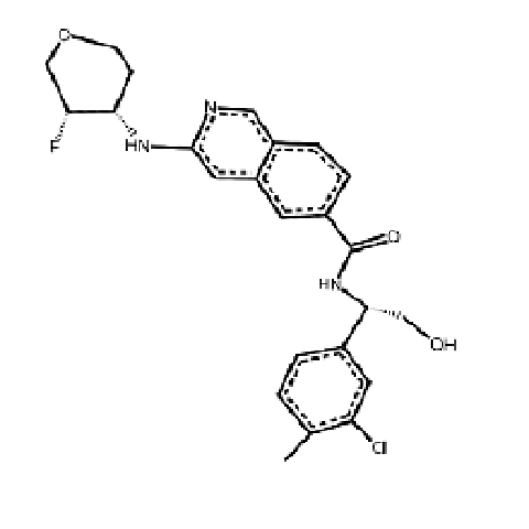 Cc1ccc([C@@H](CO)NC(=O)c2ccc3cnc(N[C@H]4CCOC[C@H]4F)cc3c2)cc1Cl